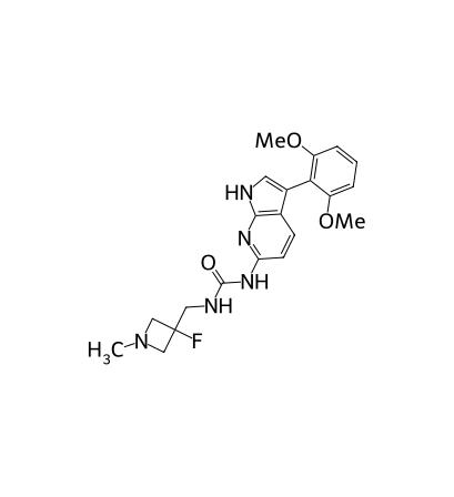 COc1cccc(OC)c1-c1c[nH]c2nc(NC(=O)NCC3(F)CN(C)C3)ccc12